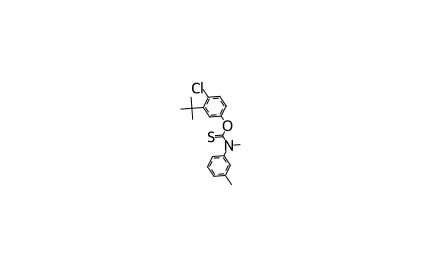 Cc1cccc(N(C)C(=S)Oc2ccc(Cl)c(C(C)(C)C)c2)c1